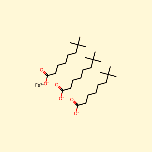 CC(C)(C)CCCCCC(=O)[O-].CC(C)(C)CCCCCC(=O)[O-].CC(C)(C)CCCCCC(=O)[O-].[Fe+3]